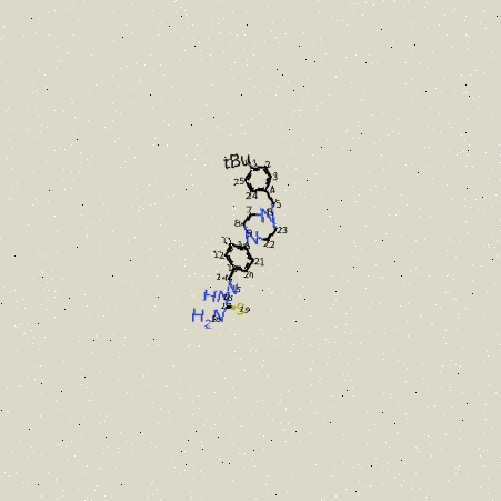 CC(C)(C)c1ccc(CN2CCN(c3ccc(/C=N/NC(N)=S)cc3)CC2)cc1